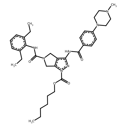 CCCCCCOC(=O)n1nc([AsH]C(=O)c2ccc(N3CCN(C)CC3)cc2)c2c1CN(C(=O)Nc1c(CC)cccc1CC)C2